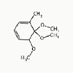 COC1C=CC=C(C)C1(OC)OC